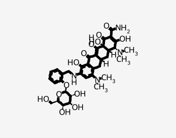 CN(C)c1cc(NCc2ccccc2O[C@@H]2O[C@H](CO)[C@@H](O)[C@H](O)[C@H]2O)c(O)c2c1C[C@H]1C[C@H]3[C@@H](N(C)C)C(O)=C(C(N)=O)C(=O)[C@@]3(O)C(O)=C1C2=O